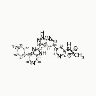 CS(=O)(=O)Nc1cncc(-c2cnc3[nH]nc(-c4nc5c(-c6ccc(F)cc6)cncc5[nH]4)c3c2)c1